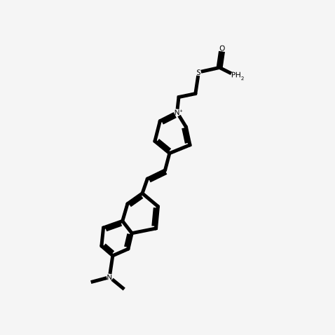 CN(C)c1ccc2cc(/C=C/c3cc[n+](CCSC(=O)P)cc3)ccc2c1